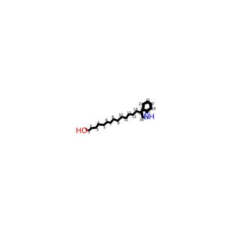 OCCCCCCCCCCCCCCc1c[nH]c2ccccc12